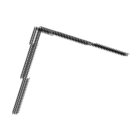 O.O.O.O.O.O.O.O.O.O.O.O.O.O.O.O.O.O.O.O.[Na+].[Na+].[Na+].[Na+].[Na+].[Na+].[Na+].[Na+].[Na+].[Na+].[Na+].[Na+].[Na+].[Na+].[Na+].[Na+].[Na+].[Na+].[Na+].[Na+].[Na+].[Na+].[Na+].[Na+].[Na+].[Na+].[Na+].[Na+].[Na+].[Na+].[Na+].[Na+].[Na+].[Na+].[Na+].[Na+].[Na+].[Na+].[Na+].[Na+].[Na+].[Na+].[Na+].[Na+].[Na+].[OH-].[OH-].[OH-].[OH-].[OH-].[OH-].[OH-].[OH-].[OH-].[OH-].[OH-].[OH-].[OH-].[OH-].[OH-].[OH-].[OH-].[OH-].[OH-].[OH-].[OH-].[OH-].[OH-].[OH-].[OH-].[OH-].[OH-].[OH-].[OH-].[OH-].[OH-].[OH-].[OH-].[OH-].[OH-].[OH-].[OH-].[OH-].[OH-].[OH-].[OH-].[OH-].[OH-].[OH-].[OH-]